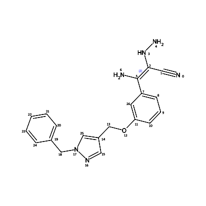 N#C/C(NN)=C(/N)c1cccc(OCc2cnn(Cc3ccccc3)c2)c1